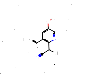 C=Cc1cc(OC)cnc1C(C)C#N